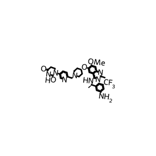 COc1cc2nc(C)nc(N[C@H](C)c3cc(N)cc(C(F)(F)F)c3)c2cc1OC1CCN(Cc2ccc(N3CCC(=O)NC3=O)cn2)CC1